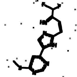 CSc1cc(-c2cnc(/C=C\C(=N)C(F)F)[nH]2)ncn1